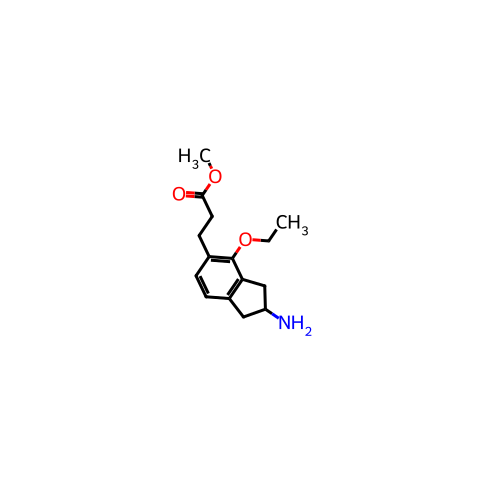 CCOc1c(CCC(=O)OC)ccc2c1CC(N)C2